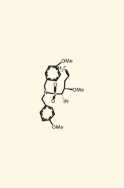 C=CC[C@@H](OC)[C@H](C(C)C)S(=O)(=O)N(Cc1ccc(OC)cc1)Cc1ccc(OC)cc1